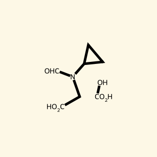 O=C(O)O.O=CN(CC(=O)O)C1CC1